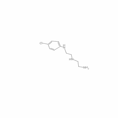 NCCNCCNc1ccc(Cl)cc1